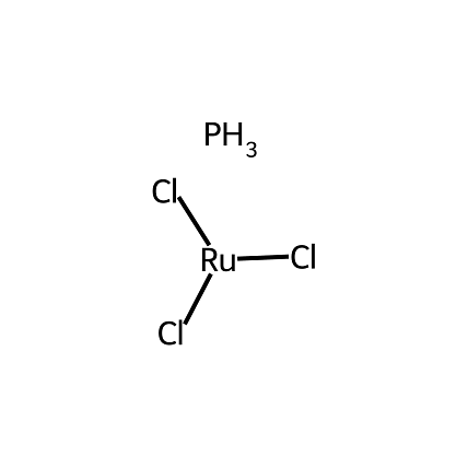 P.[Cl][Ru]([Cl])[Cl]